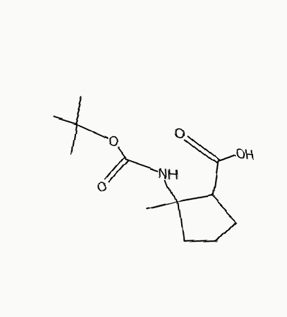 CC(C)(C)OC(=O)NC1(C)CCCC1C(=O)O